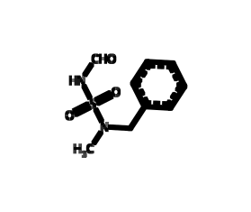 CN(Cc1ccccc1)S(=O)(=O)NC=O